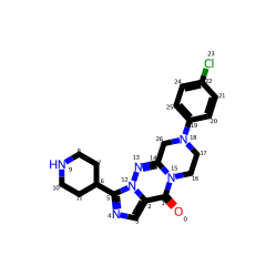 O=c1c2cnc(C3CCNCC3)n2nc2n1CCN(c1ccc(Cl)cc1)C2